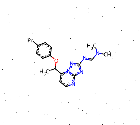 CC(C)c1ccc(OC(C)c2ccnc3nc(/N=C/N(C)C)nn23)cc1